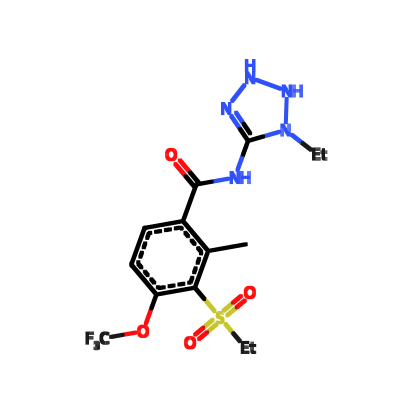 CCN1NNN=C1NC(=O)c1ccc(OC(F)(F)F)c(S(=O)(=O)CC)c1C